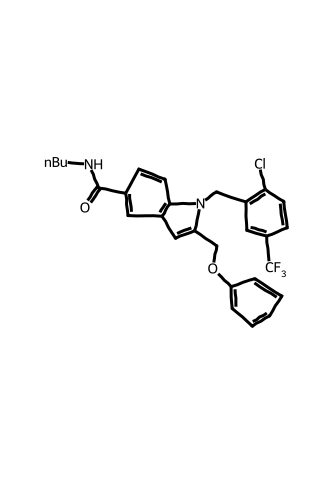 CCCCNC(=O)c1ccc2c(c1)cc(COc1ccccc1)n2Cc1cc(C(F)(F)F)ccc1Cl